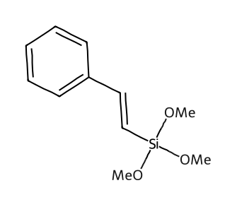 CO[Si](C=Cc1ccccc1)(OC)OC